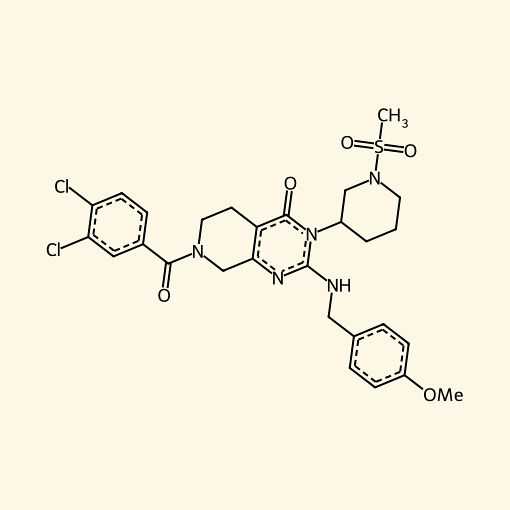 COc1ccc(CNc2nc3c(c(=O)n2C2CCCN(S(C)(=O)=O)C2)CCN(C(=O)c2ccc(Cl)c(Cl)c2)C3)cc1